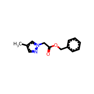 Cc1cnn(CC(=O)OCc2ccccc2)c1